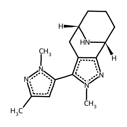 Cc1cc(-c2c3c(nn2C)[C@H]2CCC[C@@H](C3)N2)n(C)n1